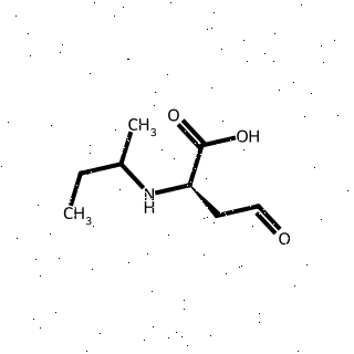 CCC(C)N[C@H](CC=O)C(=O)O